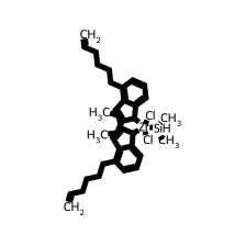 C=CCCCCc1cccc2c1C=C(CC)[CH]2[Zr]([Cl])([Cl])([CH]1C(CC)=Cc2c(CCCCC=C)cccc21)[SiH](C)C